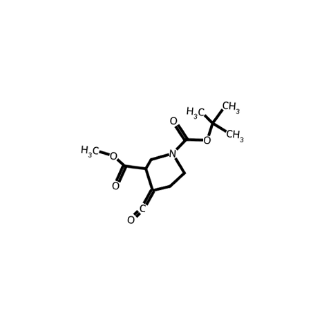 COC(=O)C1CN(C(=O)OC(C)(C)C)CCC1=C=O